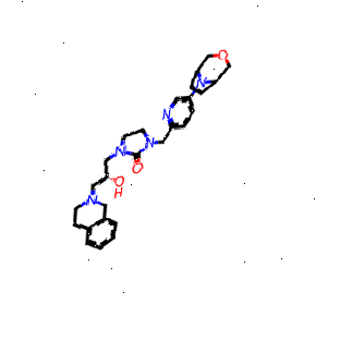 O=C1N(Cc2ccc(N3C4CCC3COC4)cn2)CCN1C[C@H](O)CN1CCc2ccccc2C1